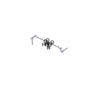 CCCCC/C=C\C/C=C\CCCCCCCCOC(=O)[C@H](CNC(=O)CCCCCCC/C=C\C/C=C\CCCCC)NC(=O)CN(C)C